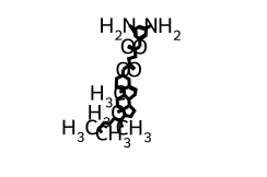 CC(C)CCCC(C)C1CCC2C3CC=C4CC(OC(=O)CCC(=O)Oc5cc(N)cc(N)c5)CCC4(C)C3CCC12C